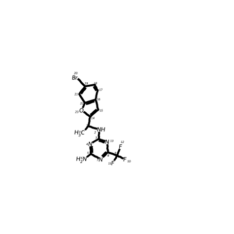 CC(Nc1nc(N)nc(C(F)(F)F)n1)c1cc2ccc(Br)cc2o1